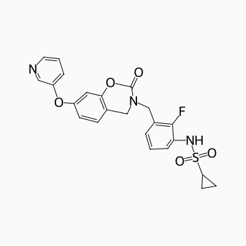 O=C1Oc2cc(Oc3cccnc3)ccc2CN1Cc1cccc(NS(=O)(=O)C2CC2)c1F